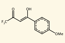 COc1ccc(/C(O)=C/C(=O)C(F)(F)F)cc1